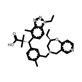 CC[C@@H]1CN(Cc2cc([C@@H](c3ccc4c(nnn4CC)c3C)C(C)(C)C(=O)O)ccc2C)Cc2cnccc2O1